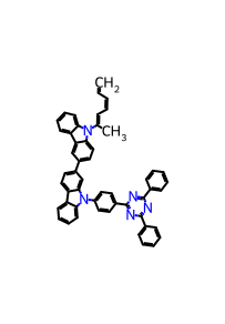 C=C/C=C\C=C(/C)n1c2ccccc2c2cc(-c3ccc4c5ccccc5n(-c5ccc(-c6nc(-c7ccccc7)nc(-c7ccccc7)n6)cc5)c4c3)ccc21